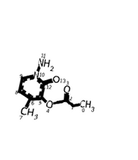 CCC(=O)Oc1c(C)ccn(N)c1=O